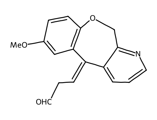 COc1ccc2c(c1)C(=CCC=O)c1cccnc1CO2